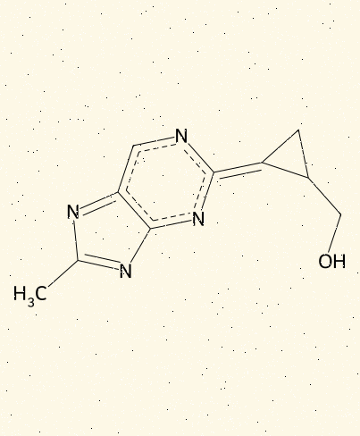 CC1=Nc2nc(=C3CC3CO)ncc2=N1